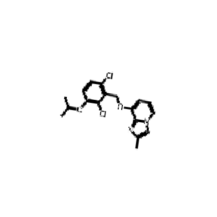 Cc1cn2cccc(OCc3c(Cl)ccc(OC(C)C)c3Cl)c2n1